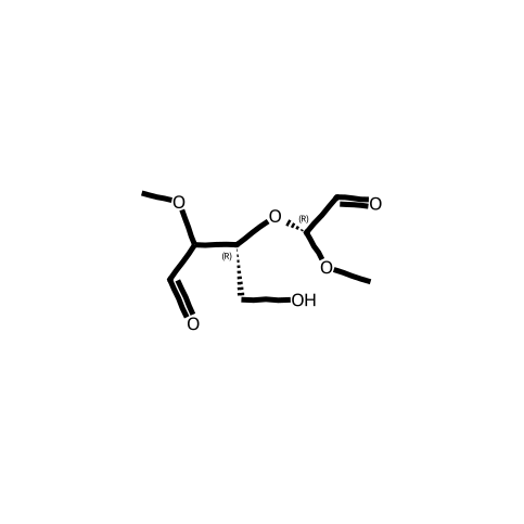 COC(C=O)[C@@H](CO)O[C@H](C=O)OC